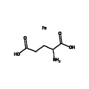 NC(CCC(=O)O)C(=O)O.[Fe]